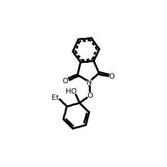 CCC1C=CC=CC1(O)ON1C(=O)c2ccccc2C1=O